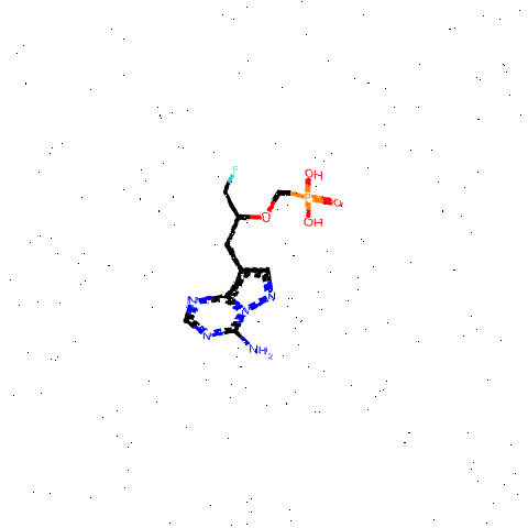 Nc1ncnc2c(CC(CF)OCP(=O)(O)O)cnn12